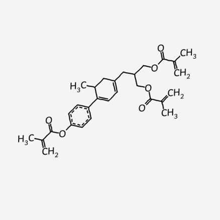 C=C(C)C(=O)OCC(COC(=O)C(=C)C)CC1=CC=C(c2ccc(OC(=O)C(=C)C)cc2)C(C)C1